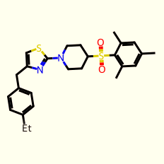 CCc1ccc(Cc2csc(N3CCC(S(=O)(=O)c4c(C)cc(C)cc4C)CC3)n2)cc1